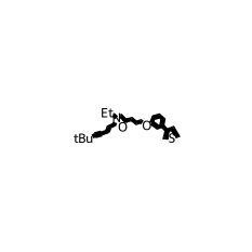 CCN(C/C=C/C#CC(C)(C)C)CC(=O)CCCOc1cccc(-c2ccsc2)c1